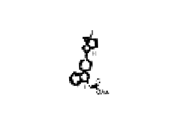 COC(=O)N[C@H]1CC2(CCN(C3CC45C[C@H]4CC[C@@H]35)CC2)c2ccccc21